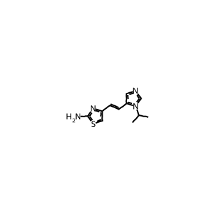 CC(C)n1cncc1C=Cc1csc(N)n1